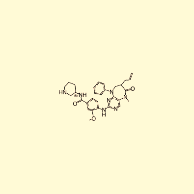 C=CCC1CN(c2ccccc2)c2nc(Nc3ccc(C(=O)N[C@@H]4CCCNC4)cc3OC)ncc2N(C)C1=O